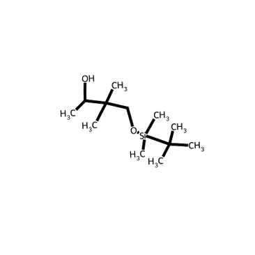 CC(O)C(C)(C)CO[Si](C)(C)C(C)(C)C